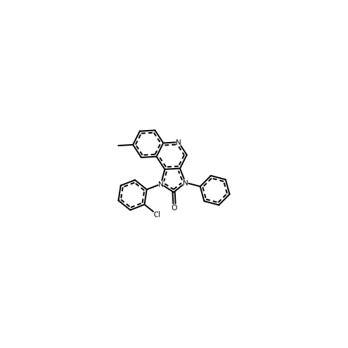 Cc1ccc2ncc3c(c2c1)n(-c1ccccc1Cl)c(=O)n3-c1ccccc1